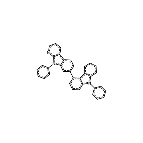 c1ccc(-n2c3ccccc3c3c(-c4ccc5c6cccnc6n(-c6ccccc6)c5c4)cccc32)cc1